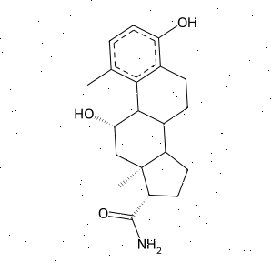 Cc1ccc(O)c2c1C1C(CC2)C2CC[C@H](C(N)=O)[C@@]2(C)C[C@@H]1O